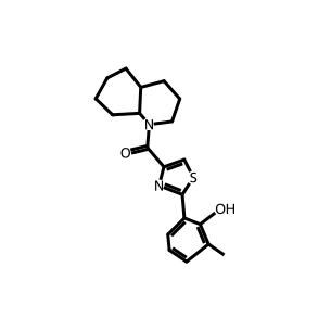 Cc1cccc(-c2nc(C(=O)N3CCCC4CCCCC43)cs2)c1O